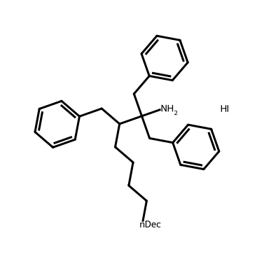 CCCCCCCCCCCCCCC(Cc1ccccc1)C(N)(Cc1ccccc1)Cc1ccccc1.I